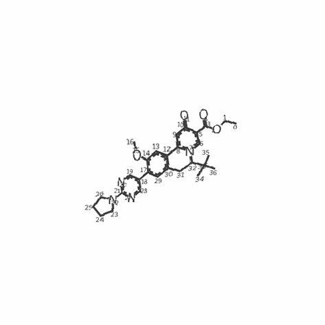 CCOC(=O)c1cn2c(cc1=O)-c1cc(OC)c(-c3cnc(N4CCCC4)nc3)cc1CC2C(C)(C)C